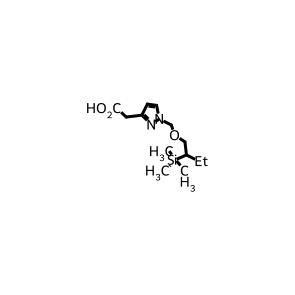 CCC(COCn1ccc(CC(=O)O)n1)[Si](C)(C)C